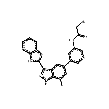 CC(C)(C)CC(=O)Nc1cncc(-c2cc(F)c3[nH]nc(-c4nc5cccnc5[nH]4)c3c2)c1